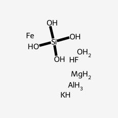 F.O.O[Si](O)(O)O.[AlH3].[Fe].[KH].[MgH2]